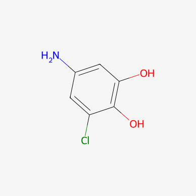 Nc1cc(O)c(O)c(Cl)c1